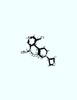 CC(C)(C)N(C(=O)O)c1cncc(F)c1C1=CCN(C2COC2)CC1